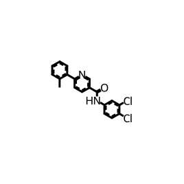 Cc1ccccc1-c1ccc(C(=O)Nc2ccc(Cl)c(Cl)c2)cn1